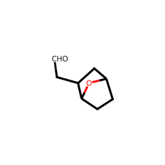 O=CCC1CC2CCC1O2